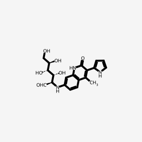 Cc1c(-c2ccc[nH]2)c(=O)[nH]c2cc(N[C@@H](C=O)[C@@H](O)[C@H](O)[C@H](O)CO)ccc12